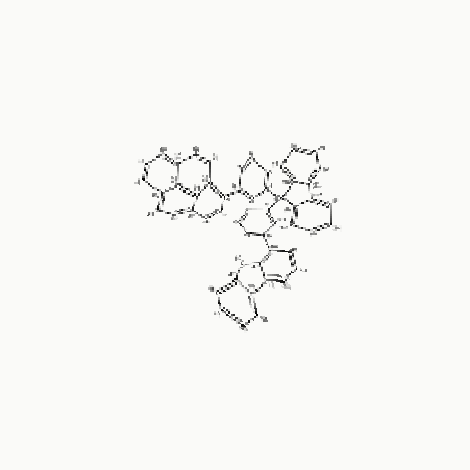 C1=CC(C2(c3cccc(-c4ccc5ccc6cccc7ccc4c5c67)c3)c3ccccc3-c3ccccc32)=CC(c2cccc3c2sc2ccccc23)C1